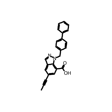 CC#Cc1cc(C(=O)O)c2c(cnn2Cc2ccc(-c3ccccc3)cc2)c1